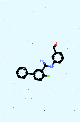 N=C(Nc1cccc(C=O)c1)c1cc(-c2ccccc2)ccc1F